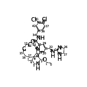 CCOC1NCC(C)C2(CCCCCCCCC2)C1c1cc(CNC2=NCCN2)cc(C(=O)NCc2ccc(Cl)c(Cl)c2)n1